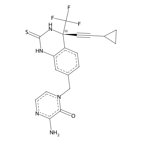 Nc1nccn(Cc2ccc3c(c2)NC(=S)N[C@]3(C#CC2CC2)C(F)(F)F)c1=O